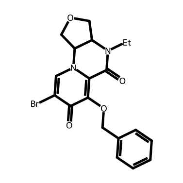 CCN1C(=O)c2c(OCc3ccccc3)c(=O)c(Br)cn2C2COCC21